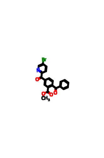 COC(=O)c1cc(C(=O)c2ccc(Br)cn2)ccc1C(=O)c1ccccc1